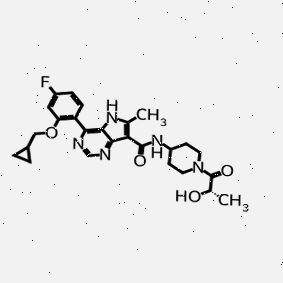 Cc1[nH]c2c(-c3ccc(F)cc3OCC3CC3)ncnc2c1C(=O)NC1CCN(C(=O)[C@H](C)O)CC1